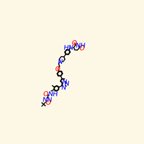 Cc1cc(-c2ncnn3cc(-c4ccc(OCCN5CCC(c6ccc(NC7CCC(=O)NC7=O)cc6)CC5)cc4)cc23)ccc1CNC(=O)c1noc(C(C)(C)C)n1